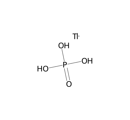 O=P(O)(O)O.[Tl]